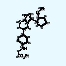 CCOC(=O)CNc1ccc(C2=Nn3c(nnc3-c3ccccc3OCC)SC2)cc1